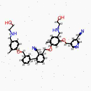 Cc1cc(CNCCO)ccc1OCc1cccc(-c2cccc(COc3cc(OCc4cncc(C#N)c4)c(CNCCO)cc3C)c2C#N)c1